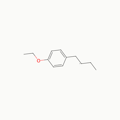 CC[CH]Cc1ccc(OCC)cc1